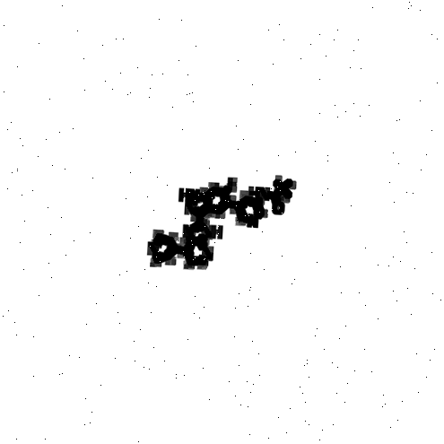 CC(C)(C)C(=O)Nc1cncc(-c2cc3c(-c4nc5c(-c6ccncc6)ccnc5[nH]4)n[nH]c3cc2F)c1